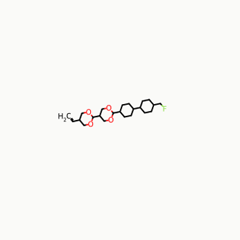 C=CC1COC(C2COC(C3CCC(C4CCC(CF)CC4)CC3)OC2)OC1